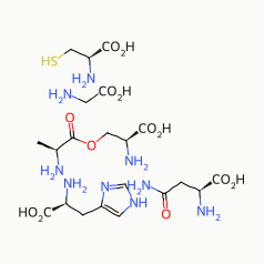 C[C@H](N)C(=O)OC[C@H](N)C(=O)O.NC(=O)C[C@H](N)C(=O)O.NCC(=O)O.N[C@@H](CS)C(=O)O.N[C@@H](Cc1c[nH]cn1)C(=O)O